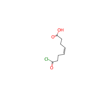 O=C(O)CC/C=C\CCC(=O)Cl